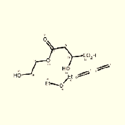 C=C.C=C.CCOCC.O=C(CC(O)C(=O)O)OCCO